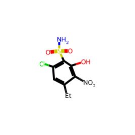 CCc1cc(Cl)c(S(N)(=O)=O)c(O)c1[N+](=O)[O-]